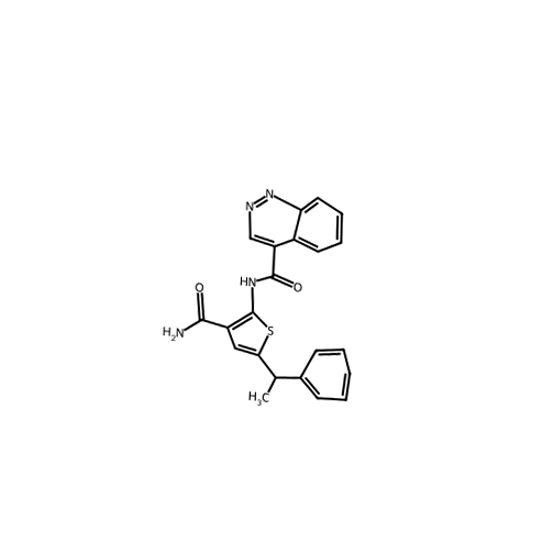 CC(c1ccccc1)c1cc(C(N)=O)c(NC(=O)c2cnnc3ccccc23)s1